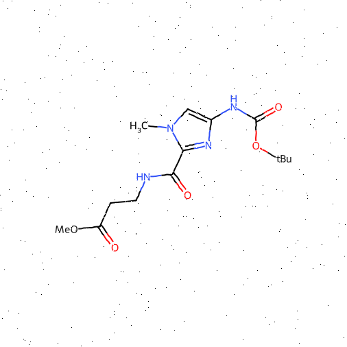 COC(=O)CCNC(=O)c1nc(NC(=O)OC(C)(C)C)cn1C